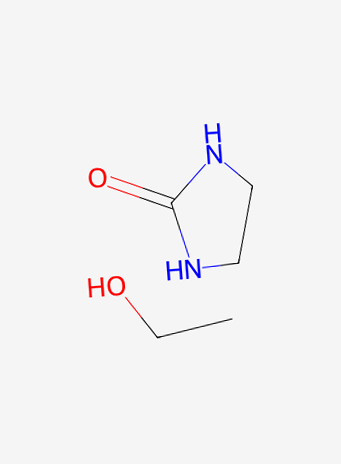 CCO.O=C1NCCN1